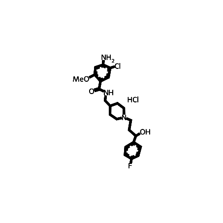 COc1cc(N)c(Cl)cc1C(=O)NCC1CCN(CCC(O)c2ccc(F)cc2)CC1.Cl